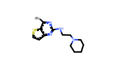 CC(C)(C)c1nc(NCCN2CCCCC2)nc2ccsc12